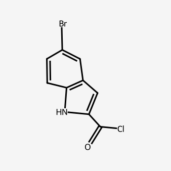 O=C(Cl)c1cc2cc(Br)ccc2[nH]1